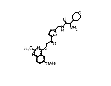 COc1ccc2nc(C)nc(SCC(=O)c3ccc(CNC(=O)C(N)C4CCOCC4)s3)c2c1